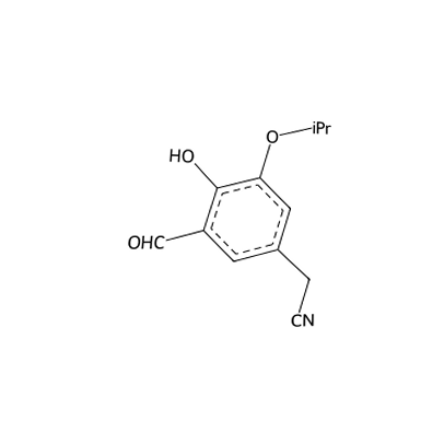 CC(C)Oc1cc(CC#N)cc(C=O)c1O